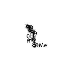 COc1ccccc1CCCNCCCCC(=O)c1ccc2c(c1)CCN2C(=O)c1ccccc1.Cl